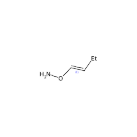 CC/C=C/ON